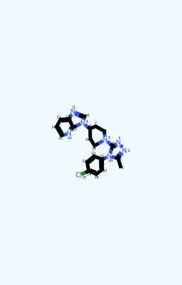 Cc1nnc(N2CCC(n3cnc4cccnc43)CC2)n1-c1ccc(Cl)cc1